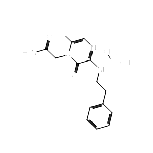 CC(=O)O.Cc1cnc(NCCc2ccccc2)c(=O)n1CC(N)=O